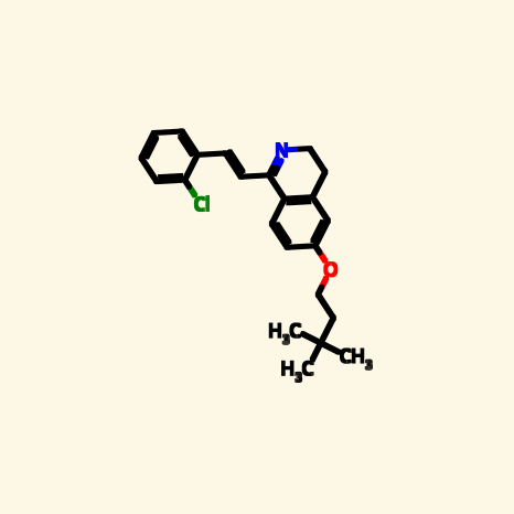 CC(C)(C)CCOc1ccc2c(c1)CCN=C2C=Cc1ccccc1Cl